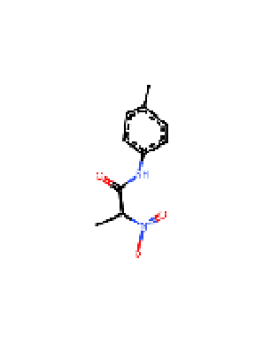 Cc1ccc(NC(=O)C(C)[N+](=O)[O-])cc1